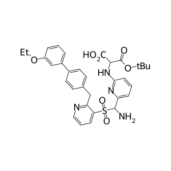 CCOc1cccc(-c2ccc(Cc3ncccc3S(=O)(=O)C(N)c3cccc(NC(C(=O)O)C(=O)OC(C)(C)C)n3)cc2)c1